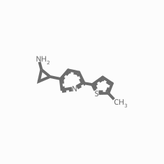 Cc1ccc(-c2ccc(C3CC3N)cn2)s1